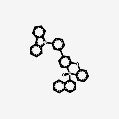 O=P1(c2cccc3ccccc23)c2ccccc2Oc2cc(-c3cccc(-n4c5ccccc5c5ccccc54)c3)ccc21